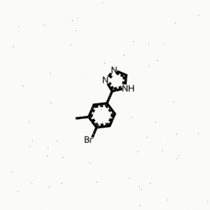 Cc1cc(-c2nnc[nH]2)ccc1Br